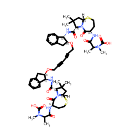 CC(C(=O)N[C@H]1CCS[C@H]2CC(C)(C)[C@@H](C(=O)N[C@H]3c4ccccc4C[C@H]3OCC#CC#CCO[C@@H]3Cc4ccccc4[C@@H]3NC(=O)[C@H]3N4C(=O)[C@@H](NC(=O)C(C)N(C)C(=O)O)CCS[C@H]4CC3(C)C)N2C1=O)N(C)C(=O)O